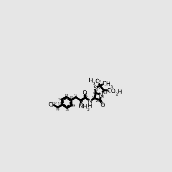 CC1(C)SC2C(NC(=O)C(N)Cc3ccc(CCl)cc3)C(=O)N2C1C(=O)O